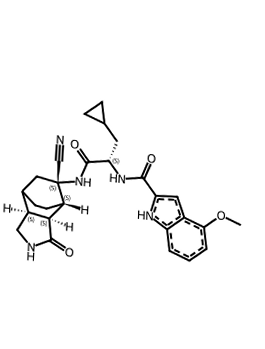 COc1cccc2[nH]c(C(=O)N[C@@H](CC3CC3)C(=O)N[C@@]3(C#N)CC4CC[C@H]3[C@H]3C(=O)NC[C@@H]43)cc12